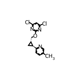 Cc1ccc([C@H]2C[C@@H]2COc2nc(Cl)cc(Cl)n2)nc1